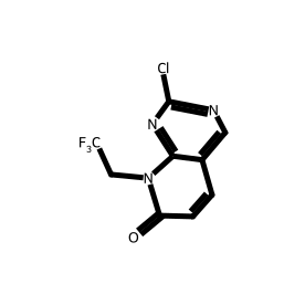 O=c1ccc2cnc(Cl)nc2n1CC(F)(F)F